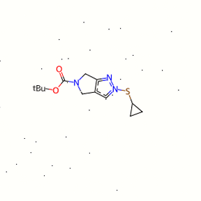 CC(C)(C)OC(=O)N1Cc2cn(SC3CC3)nc2C1